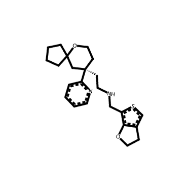 c1ccc([C@]2(CCNCc3scc4c3OCC4)CCOC3(CCCC3)C2)nc1